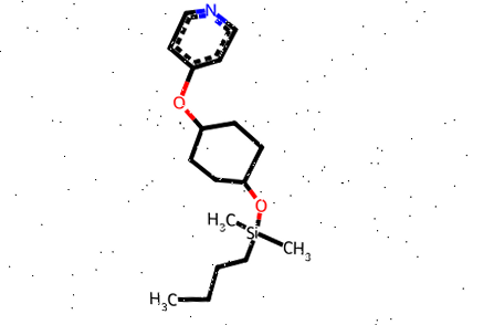 CCCC[Si](C)(C)OC1CCC(Oc2ccncc2)CC1